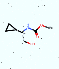 CC(C)(C)OC(=O)N[C@H](CO)C1CC1